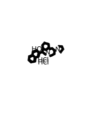 Cl.Cl.OC1(C(CN2CCC(N3CCCC3)CC2)c2ccc3ccccc3c2)CCCCC1